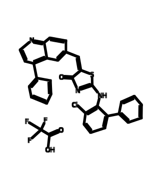 O=C(O)C(F)(F)F.O=C1N=C(Nc2c(Cl)cccc2-c2ccccc2)SC1=Cc1ccc2nccc(-c3ccccc3)c2c1